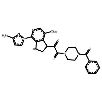 COc1cnc(-n2ccc(N)n2)c2c1C(C(=O)C(=O)N1CCN(C(=O)c3ccccc3)CC1)CN2